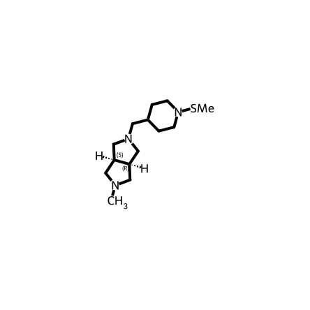 CSN1CCC(CN2C[C@H]3CN(C)C[C@H]3C2)CC1